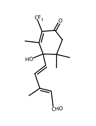 CC(C=CC1(O)C(C)=C(C(F)(F)F)C(=O)CC1(C)C)=CC=O